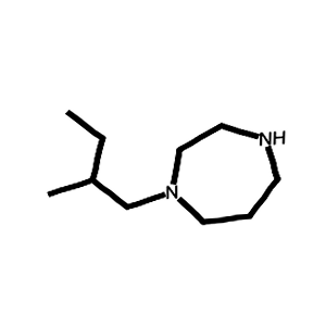 CCC(C)CN1CCCNCC1